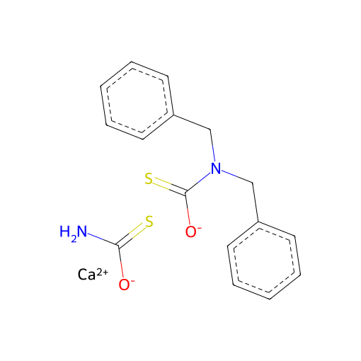 NC([O-])=S.[Ca+2].[O-]C(=S)N(Cc1ccccc1)Cc1ccccc1